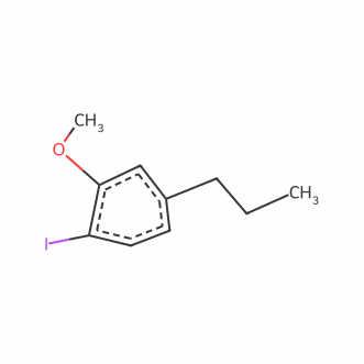 CCCc1ccc(I)c(OC)c1